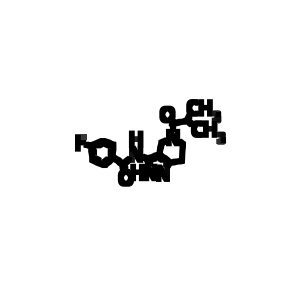 CC(C)C(=O)N1CCc2n[nH]c(NC(=O)c3ccc(F)cc3)c2C1